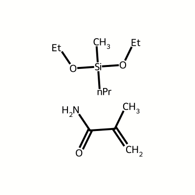 C=C(C)C(N)=O.CCC[Si](C)(OCC)OCC